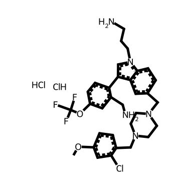 COc1ccc(CN2CCN(Cc3ccc4c(c3)c(-c3ccc(OC(F)(F)F)cc3CN)cn4CCCN)CC2)c(Cl)c1.Cl.Cl